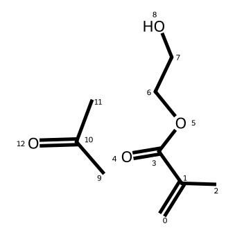 C=C(C)C(=O)OCCO.CC(C)=O